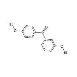 CCOc1ccc(C(=O)c2cccc(OCC)c2)cc1